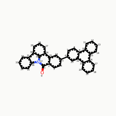 O=c1c2ccc(-c3ccc4c5ccccc5c5ccccc5c4c3)cc2c2cccc3c4ccccc4n1c23